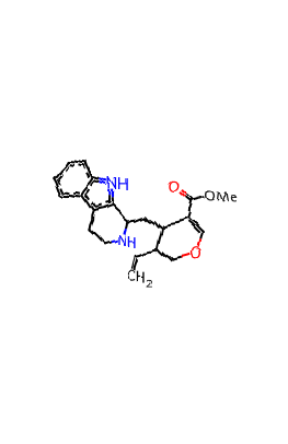 C=CC1COC=C(C(=O)OC)C1CC1NCCc2c1[nH]c1ccccc21